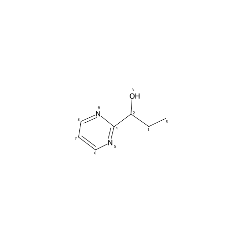 CCC(O)c1ncccn1